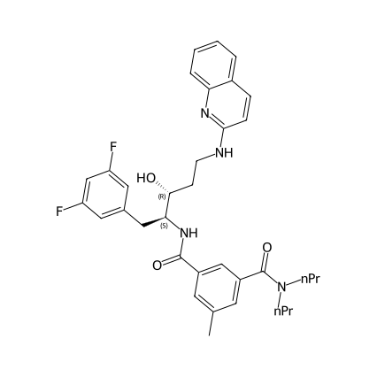 CCCN(CCC)C(=O)c1cc(C)cc(C(=O)N[C@@H](Cc2cc(F)cc(F)c2)[C@H](O)CCNc2ccc3ccccc3n2)c1